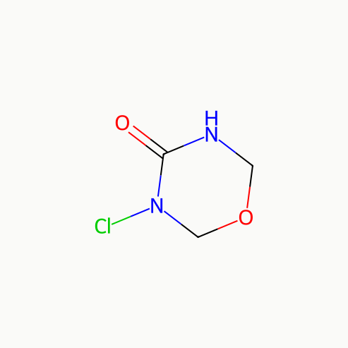 O=C1NCOCN1Cl